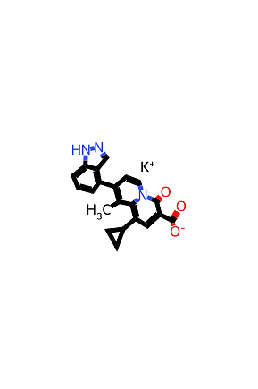 Cc1c(-c2cccc3[nH]ncc23)ccn2c(=O)c(C(=O)[O-])cc(C3CC3)c12.[K+]